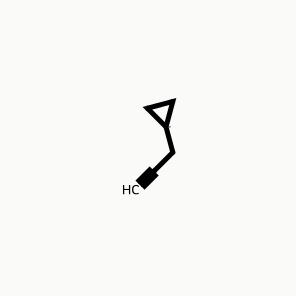 C#CC[C]1CC1